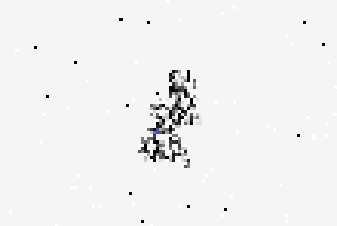 C=C(Nc1ccc2cn(C)nc2c1)c1ccccc1/N=C/c1ccnc(N)c1